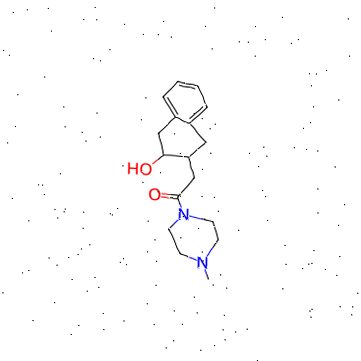 CN1CCN(C(=O)CC2Cc3ccccc3CC2O)CC1